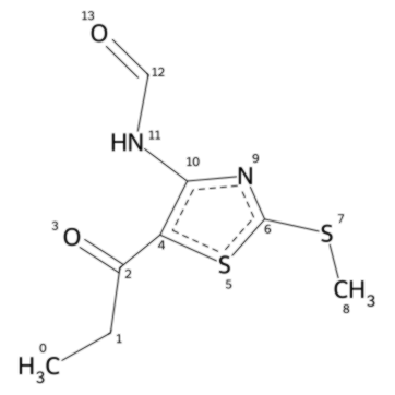 CCC(=O)c1sc(SC)nc1NC=O